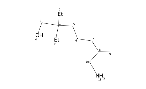 CCC(CC)(CO)CCCC(C)CN